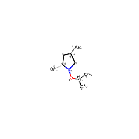 C[SiH](C)ON1C[C@@H](C(C)(C)C)C[C@H]1C=O